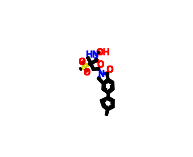 Cc1ccc(-c2ccc3c(c2)CN(CCC(C)(C(=O)NO)S(C)(=O)=O)C3=O)cc1